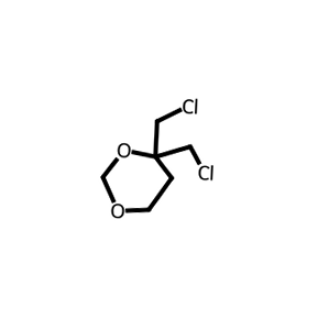 ClCC1(CCl)CCOCO1